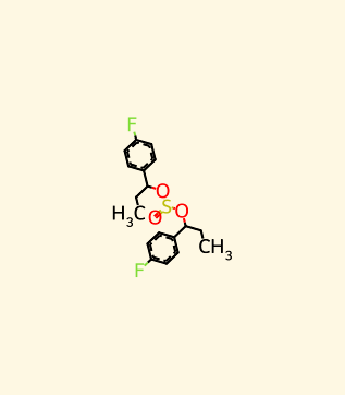 CCC(OS(=O)OC(CC)c1ccc(F)cc1)c1ccc(F)cc1